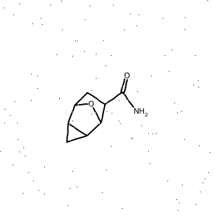 NC(=O)C1CC2OC1C1CC21